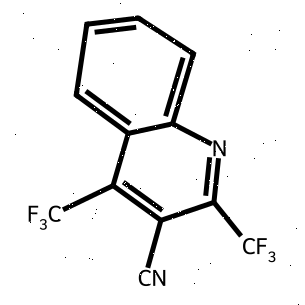 N#Cc1c(C(F)(F)F)nc2ccccc2c1C(F)(F)F